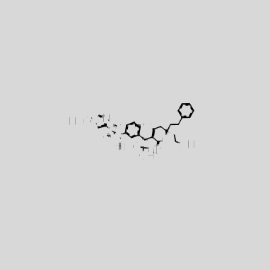 CCC[C@@]1(CCc2ccccc2)CC(O)=C([C@@H](c2cccc(NS(=O)(=O)c3cn(C)cn3)c2)C(C)(C)C)C(=O)O1